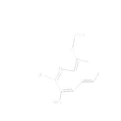 CCCCCCCCOc1cccc2cc(O)c(C(C)=O)nc12